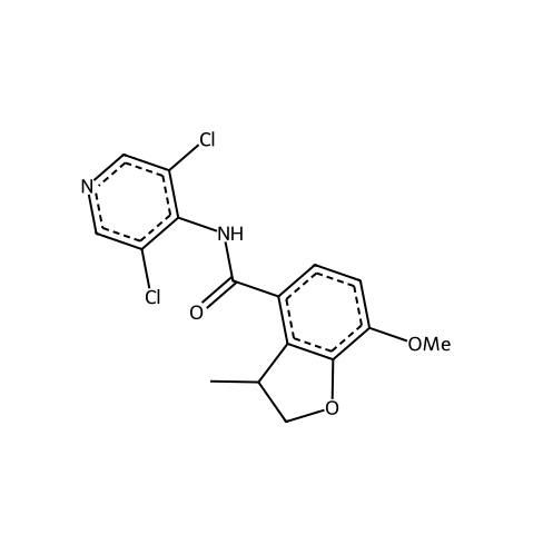 COc1ccc(C(=O)Nc2c(Cl)cncc2Cl)c2c1OCC2C